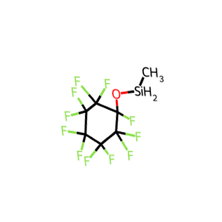 C[SiH2]OC1(F)C(F)(F)C(F)(F)C(F)(F)C(F)(F)C1(F)F